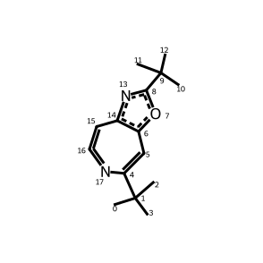 CC(C)(C)C1=Cc2oc(C(C)(C)C)nc2C=C=N1